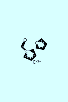 O=C[c-]1cccc1.[Cr+2].c1cc[cH-]c1